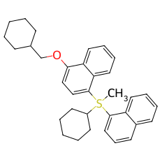 CS(c1cccc2ccccc12)(c1ccc(OCC2CCCCC2)c2ccccc12)C1CCCCC1